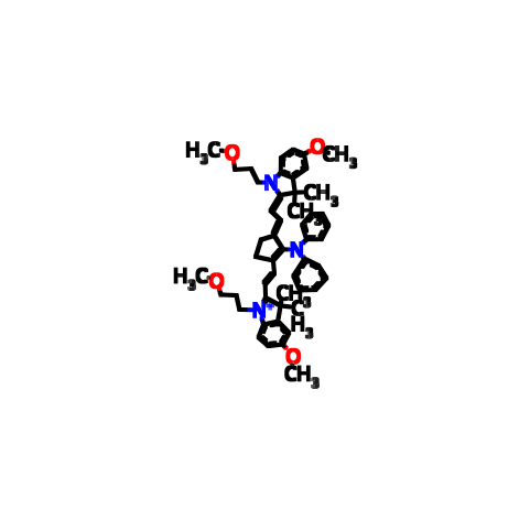 COCCCN1/C(=C/C=C2\CCC(/C=C/C3=[N+](CCCOC)c4ccc(OC)cc4C3(C)C)=C2N(c2ccccc2)c2ccccc2)C(C)(C)c2cc(OC)ccc21